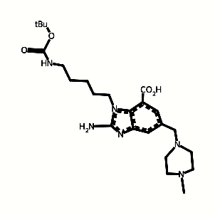 CN1CCN(Cc2cc(C(=O)O)c3c(c2)nc(N)n3CCCCCNC(=O)OC(C)(C)C)CC1